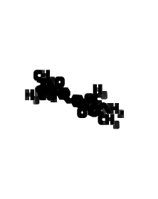 CCc1ccc(N2C(=O)c3ccc(Cc4ccc5c(c4)C(=O)N(c4ccc(CC)c(CN)c4CC)C5=O)cc3C2=O)c(CC)c1CN